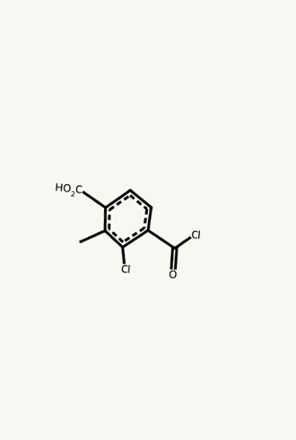 Cc1c(C(=O)O)ccc(C(=O)Cl)c1Cl